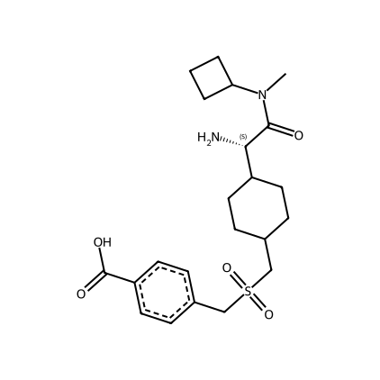 CN(C(=O)[C@@H](N)C1CCC(CS(=O)(=O)Cc2ccc(C(=O)O)cc2)CC1)C1CCC1